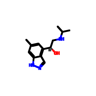 Cc1cc([C@@H](O)CNC(C)C)c2cn[nH]c2c1